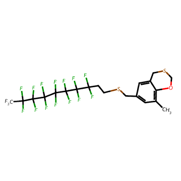 Cc1cc(CSCCC(F)(F)C(F)(F)C(F)(F)C(F)(F)C(F)(F)C(F)(F)C(F)(F)C(F)(F)F)cc2c1OCSC2